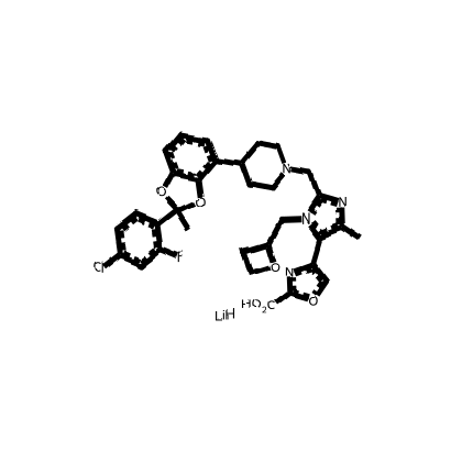 Cc1nc(CN2CCC(c3cccc4c3OC(C)(c3ccc(Cl)cc3F)O4)CC2)n(CC2CCO2)c1-c1coc(C(=O)O)n1.[LiH]